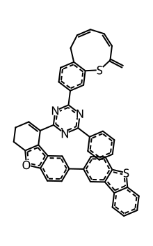 C=C1/C=C\C=C/Cc2ccc(-c3nc(C4=CCCc5oc6ccc(-c7ccc8sc9ccccc9c8c7)cc6c54)nc(-c4ccccc4)n3)cc2S1